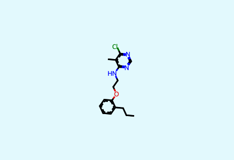 CCCc1ccccc1OCCNc1ncnc(Cl)c1C